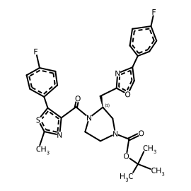 Cc1nc(C(=O)N2CCN(C(=O)OC(C)(C)C)C[C@@H]2Cc2nc(-c3ccc(F)cc3)co2)c(-c2ccc(F)cc2)s1